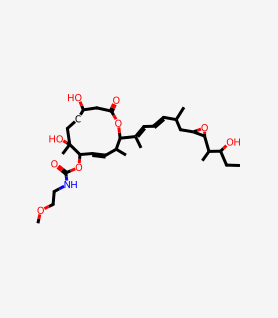 CCC(O)C(C)C1OC1CC(C)/C=C/C=C(\C)C1OC(=O)CC(O)CCC(C)(O)C(OC(=O)NCCOC)/C=C/C1C